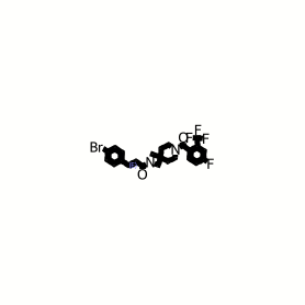 O=C(/C=C/c1ccc(Br)cc1)N1CC2(CCN(C(=O)c3ccc(F)cc3C(F)(F)F)CC2)C1